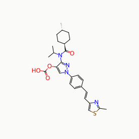 Cc1nc(/C=C/c2ccc(-n3cc(OC(=O)O)c(N(C(=O)[C@H]4CC[C@H](C)CC4)C(C)C)n3)cc2)cs1